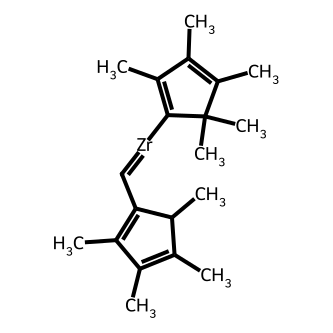 CC1=C(C)C(C)C(/[CH]=[Zr]/[C]2=C(C)C(C)=C(C)C2(C)C)=C1C